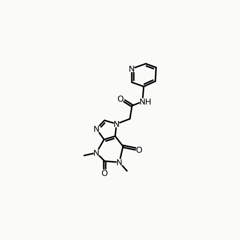 Cn1c(=O)c2c(ncn2CC(=O)Nc2cccnc2)n(C)c1=O